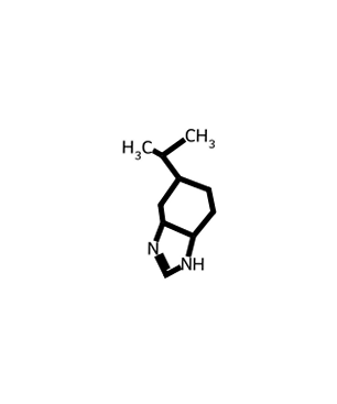 CC(C)C1CCC2NC=NC2C1